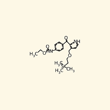 CCOC(=O)Nc1ccc(C(=O)c2[nH]ccc2COCC[Si](C)(C)C)cc1